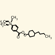 C=C[Si](C=C)(CC)c1ccc(C(=O)OO[C]2CCC(CCCC)CC2)cc1